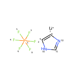 F[P-](F)(F)(F)(F)F.[Li+].c1c[nH]cn1